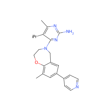 Cc1cc(-c2ccncc2)cc2c1OCCN(c1nc(N)nc(C)c1C(C)C)C2